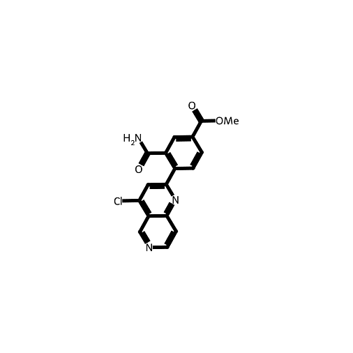 COC(=O)c1ccc(-c2cc(Cl)c3cnccc3n2)c(C(N)=O)c1